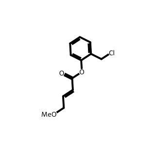 COCC=CC(=O)Oc1ccccc1CCl